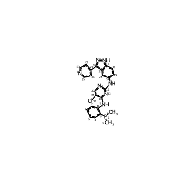 CP(C)c1ccccc1Nc1nc(Nc2ccc3[nH]nc(-c4ccncc4)c3c2)ncc1Cl